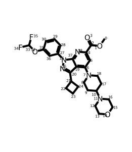 COC(=O)c1cc(N2CCC(N3CCOCC3)CC2)c2c(C3CCC3)nn(-c3cccc(OC(F)F)c3)c2n1